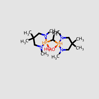 CC([PH]1(O)N(C)CC(C)(C)CN1C)[PH]1(O)N(C)CC(C)(C)CN1C